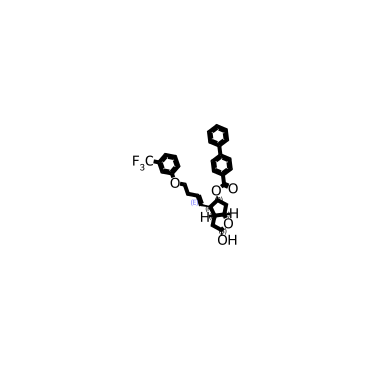 O=C(O[C@@H]1C[C@@H]2O[C@H](O)C[C@@H]2[C@H]1/C=C/CCOc1cccc(C(F)(F)F)c1)c1ccc(-c2ccccc2)cc1